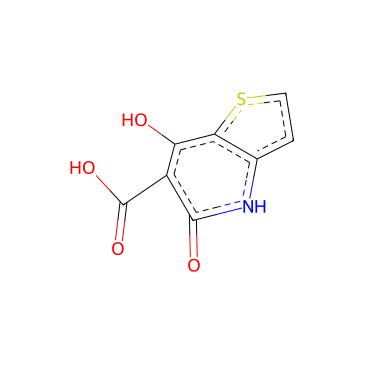 O=C(O)c1c(O)c2sccc2[nH]c1=O